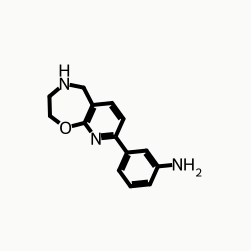 Nc1cccc(-c2ccc3c(n2)OCCNC3)c1